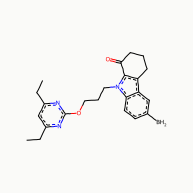 Bc1ccc2c(c1)c1c(n2CCCOc2nc(CC)cc(CC)n2)C(=O)CCC1